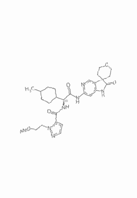 COCCn1nccc1C(=O)N[C@H](C(=O)Nc1cc2c(cn1)C1(CCOCC1)C(=O)N2)C1CCC(C)CC1